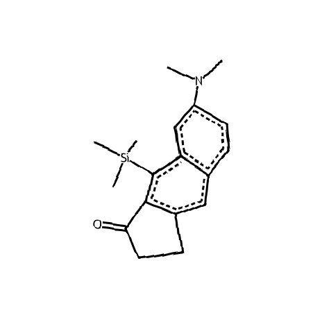 CN(C)c1ccc2cc3c(c([Si](C)(C)C)c2c1)C(=O)CC3